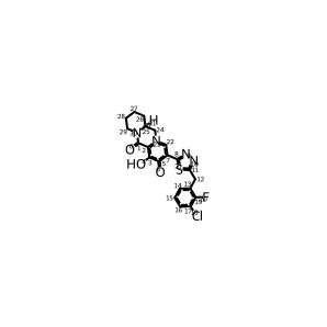 O=C1c2c(O)c(=O)c(-c3nnc(Cc4cccc(Cl)c4F)s3)cn2C[C@H]2CCCCN12